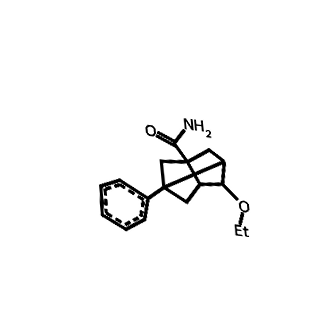 CCOC1C2CC3(c4ccccc4)CC2(C(N)=O)CC13